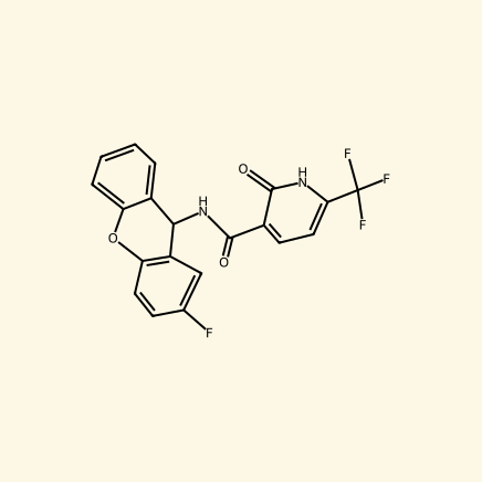 O=C(NC1c2ccccc2Oc2ccc(F)cc21)c1ccc(C(F)(F)F)[nH]c1=O